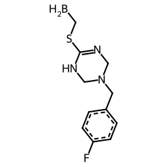 BCSC1=NCN(Cc2ccc(F)cc2)CN1